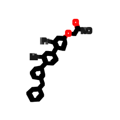 CCc1cc(-c2ccc(OCC(=O)N=O)cc2C(C)C)ccc1-c1cccc(Cc2ccccc2)c1